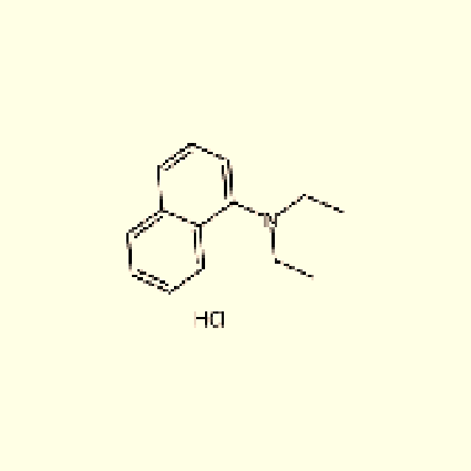 CCN(CC)c1cccc2ccccc12.Cl